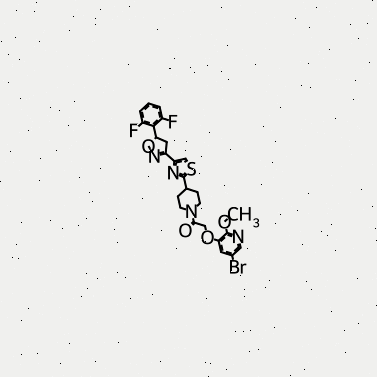 COc1ncc(Br)cc1OCC(=O)N1CCC(c2nc(C3=NOC(c4c(F)cccc4F)C3)cs2)CC1